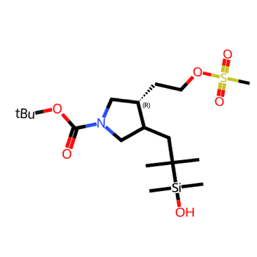 CC(C)(C)OC(=O)N1CC(CC(C)(C)[Si](C)(C)O)[C@@H](CCOS(C)(=O)=O)C1